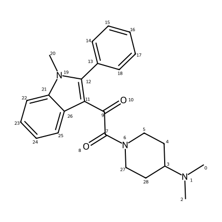 CN(C)C1CCN(C(=O)C(=O)c2c(-c3ccccc3)n(C)c3ccccc23)CC1